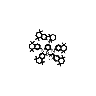 CC1(C)CCC(C)(C)c2cc(N3c4cc5c(cc4B4c6oc7cc8c(cc7c6N(c6ccc7c(c6)C(C)(C)CCC7(C)C)c6cc(N7c9cc%10c(cc9C9(C)CCCCC79C)C(C)(C)CCC%10(C)C)cc3c64)C(C)(C)CCC8(C)C)C(C)(C)CCC5(C)C)ccc21